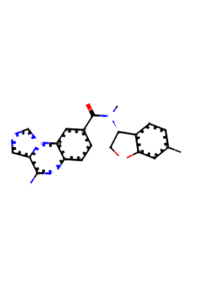 CN(C(=O)c1ccc2nc(N)c3cncn3c2c1)[C@@H]1COc2cc(C(F)(F)F)ccc21